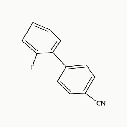 N#Cc1ccc(-c2cc[c]cc2F)cc1